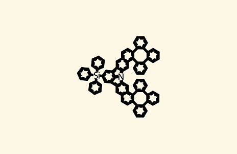 c1ccc([Si](c2ccccc2)(c2ccccc2)c2cc3c4cc5ccc6c(c5cc4n4c5cc7c8c(ccc7cc5c(c2)c34)-c2ccccc2-c2ccccc2-c2ccccc2-8)-c2ccccc2-c2ccccc2-c2ccccc2-6)cc1